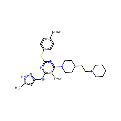 COc1c(Nc2cc(C)[nH]n2)nc(Sc2ccc(NC(C)=O)cc2)nc1N1CCC(CCN2CCCCC2)CC1